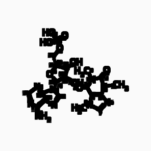 Cn1c(=O)c2c(ncn2C)n(C)c1=O.Nc1ncnc2c1ncn2[C@@H]1O[C@H](COP(=O)(O)O)[C@@H](O)[C@H]1O